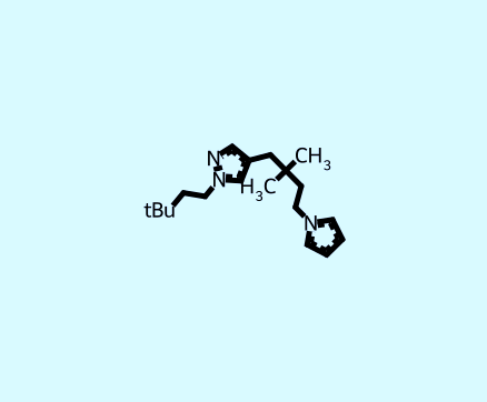 CC(C)(C)CCn1cc(CC(C)(C)CCn2cccc2)cn1